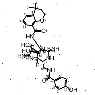 CC1(C)CCOc2c(C(=O)NC3CN4C(=N)N[C@@H](CNC(=O)c5ccc(O)cc5)[C@@H]5NC(=N)NC54C3(O)O)cccc21